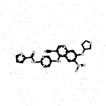 N#Cc1cnc2cc(OC3CCOC3)c([N+](=O)[O-])cc2c1Nc1cnc(NC(=O)c2ccco2)nc1